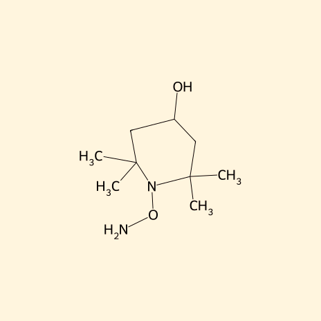 CC1(C)CC(O)CC(C)(C)N1ON